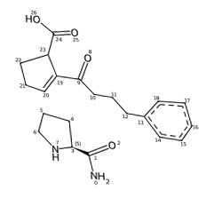 NC(=O)[C@@H]1CCCN1.O=C(CCCc1ccccc1)C1=CCCC1C(=O)O